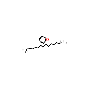 C1=CC2OC2C=C1.C=CCCCCCCCCCCCC